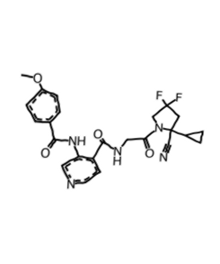 COc1ccc(C(=O)Nc2cnccc2C(=O)NCC(=O)N2CC(F)(F)CC2(C#N)C2CC2)cc1